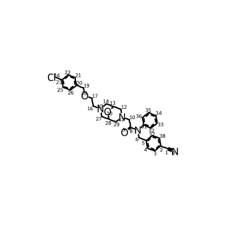 N#Cc1ccc(CN(C(=O)CN2CC3CN(CCOCc4ccc(Cl)cc4)CC(C2)O3)c2ccccc2)cc1